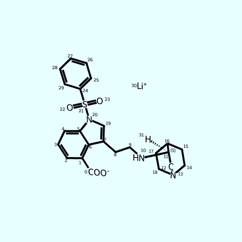 O=C([O-])c1cccc2c1c(CCN[C@@H]1CN3CCC1CC3)cn2S(=O)(=O)c1ccccc1.[Li+]